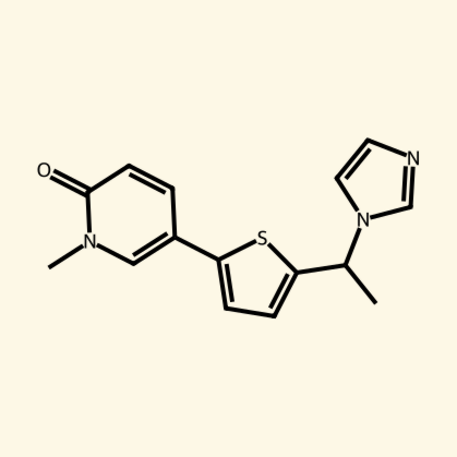 CC(c1ccc(-c2ccc(=O)n(C)c2)s1)n1ccnc1